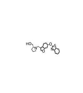 OC[C@@H]1CCCN1Cc1coc2cc(Oc3nc4ccccc4s3)ccc12